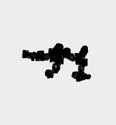 CNC(=O)Nc1ccc(-c2nc(N3CCOCC3)c3cnn(C4CCN(C(=O)c5ccccc5OC)CC4)c3n2)cc1.CNC(=O)Nc1ccc(-c2nc(N3CCOCC3)c3cnn(C4CCN(Cc5ccccn5)CC4)c3n2)cc1